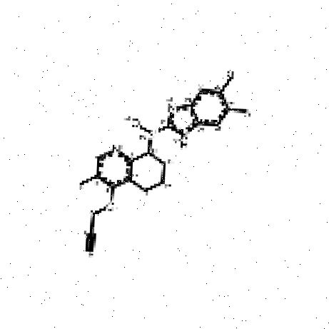 C#CCOc1c(C)cnc2c1CCCC2[S+]([O-])c1nc2cc(C)c(C)cc2[nH]1